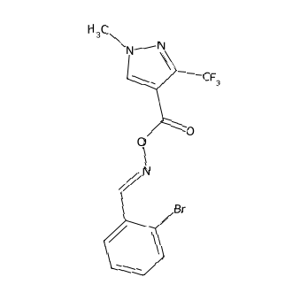 Cn1cc(C(=O)O/N=C/c2ccccc2Br)c(C(F)(F)F)n1